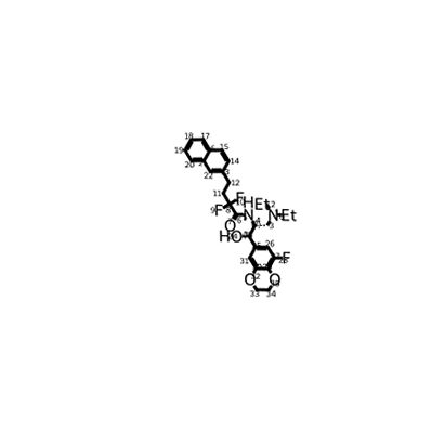 CCN(CC)C[C@@H](NC(=O)C(F)(F)CCc1ccc2ccccc2c1)[C@H](O)c1cc(F)c2c(c1)OCCO2